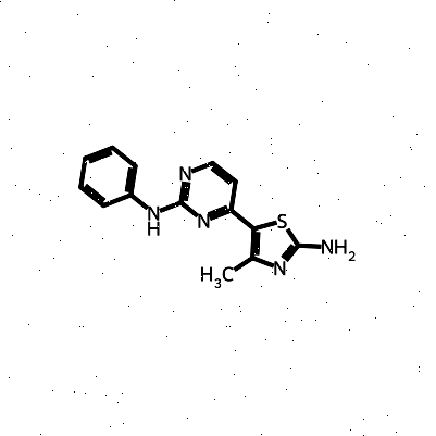 Cc1nc(N)sc1-c1ccnc(Nc2ccccc2)n1